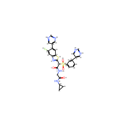 O=C(CNC(=O)C(c1nc2cc(F)c(-c3cncnc3)cc2s1)S(=O)(=O)c1cccc(-c2cncnc2)c1)NC1CC1